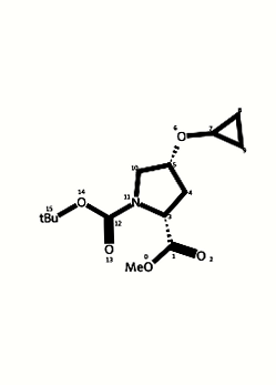 COC(=O)[C@H]1C[C@@H](OC2CC2)CN1C(=O)OC(C)(C)C